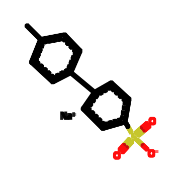 Cc1ccc(-c2ccc(S(=O)(=O)[O-])cc2)cc1.[Na+]